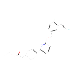 CCOC(=O)CC1CC=C(c2cccc(OCc3ccc(Cl)c4cc(F)oc34)n2)CC1